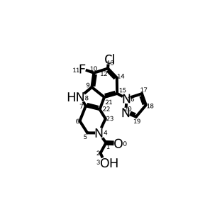 O=C(CO)N1CCc2[nH]c3c(F)c(Cl)cc(-n4cccn4)c3c2C1